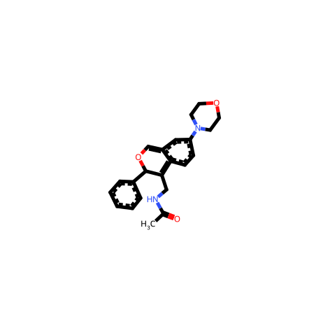 CC(=O)NCC1=c2ccc(N3CCOCC3)cc2=COC1c1ccccc1